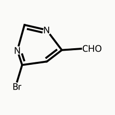 O=Cc1cc(Br)ncn1